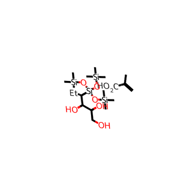 C=C(C)C(=O)O.CCC(C(O)C(O)CO)[Si](O[Si](C)(C)C)(O[Si](C)(C)C)O[Si](C)(C)C